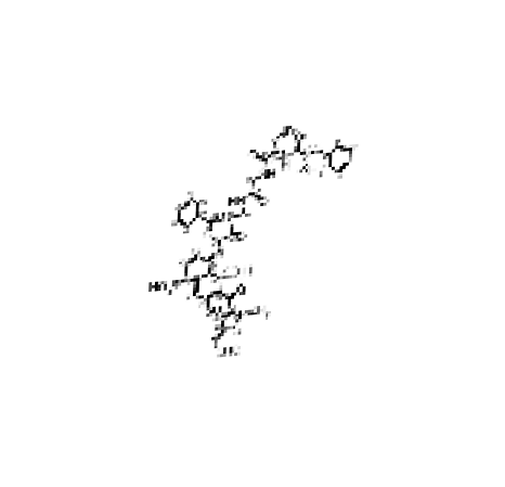 CC(C)C[C@H](NC(=O)[C@@H](N)Cc1ccccc1)C(=O)NCC(=O)NCCC(=O)C(N=C1C=CC(S(=O)(=O)O)C2=CC(S(=O)(=O)O)=C(C(=O)C3=CC(=NC=O)CN3C)C(S(=O)(=O)O)C21)OC(=O)c1ccccc1